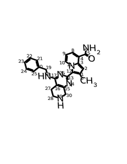 Cc1cc2c(C(N)=O)cccn2c1-c1nc2c(c(NCc3ccccc3)n1)CCNC2